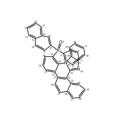 O=P(c1ccccc1)(c1ccc2ccccc2c1)c1cccc2c3ccc4ccccc4c3c3nc4ccccc4n3c12